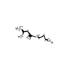 C=C(C)CC(=O)OCCCC